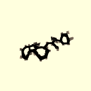 O=C(Cc1cccc2c1[nH]c1ccccc12)Nc1ccccc1